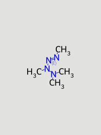 C/N=N/N(C)N(C)C